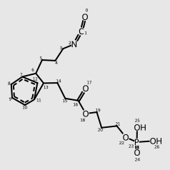 O=C=NCCCC1c2cccc(c2)C1CCC(=O)OCCCOP(=O)(O)O